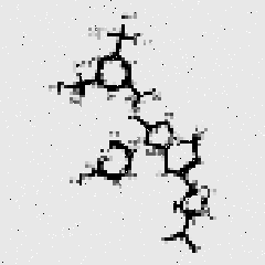 CC(C)c1noc(C2=CC(=O)N3CC(O[C@H](C)c4cc(C(F)(F)F)cc(C(F)(F)F)c4)[C@@H](c4ccc(F)cc4)C3C2)n1